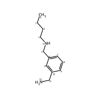 CCCCNCc1cccc(CN)c1